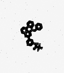 O=C(Nc1cncc(-c2nc(NCc3ccccn3)c3c(-c4ccccc4)cccc3n2)c1)C(F)(F)F